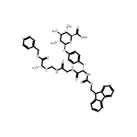 COC(=O)[C@H]1O[C@@H](Oc2ccc(C[C@H](NC(=O)OCC3c4ccccc4-c4ccccc43)C(=O)NCC(=O)NCO[C@H](C)C(=O)OCc3ccccc3)cc2)[C@H](OC(C)=O)[C@@H](OC(C)=O)[C@@H]1OC(C)=O